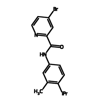 Cc1cc(NC(=O)c2cc(Br)ccn2)ccc1C(C)C